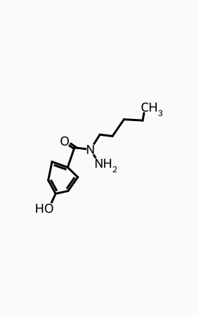 CCCCCN(N)C(=O)c1ccc(O)cc1